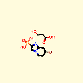 O=C(O)CCO.O=P(O)(O)c1cn2ccc(Br)cc2n1